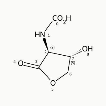 O=C(O)N[C@@H]1C(=O)OC[C@H]1O